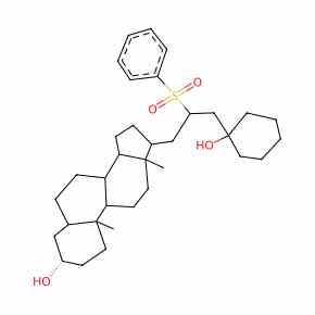 CC12CCC3C(CCC4C[C@@H](O)CCC43C)C1CCC2CC(CC1(O)CCCCC1)S(=O)(=O)c1ccccc1